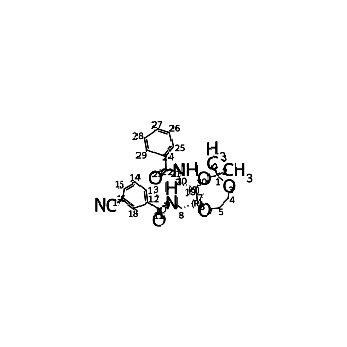 CC1(C)OCCO[C@H](CNC(=O)c2cccc(C#N)c2)[C@H](CNC(=O)c2ccccc2)O1